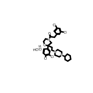 Cl.Cl.O=C(Cc1cc(Cl)cc(Cl)c1)N1CCOC(CCN2CCN(C3CCCCC3)CC2)(c2ccc(Cl)c(Cl)c2)C1